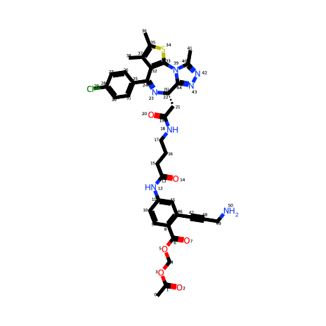 CC(=O)OCOC(=O)c1ccc(NC(=O)CCCNC(=O)C[C@@H]2N=C(c3ccc(Cl)cc3)c3c(sc(C)c3C)-n3c(C)nnc32)cc1C#CCN